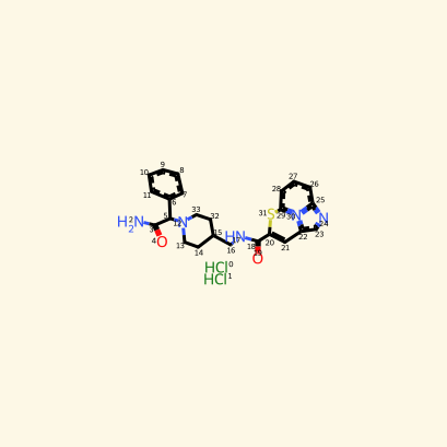 Cl.Cl.NC(=O)C(c1ccccc1)N1CCC(CNC(=O)C2=Cc3cnc4cccc(n34)S2)CC1